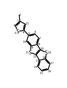 Cc1csc(-c2ccc3c(c2)sc2c4ccccc4sc32)c1